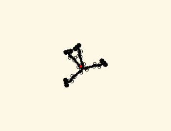 O=C(CCC(=O)OCc1c2ccccc2cc2ccccc12)OCCCCCC(=O)OCC(COC(=O)CCCCCOC(=O)CCC(=O)OCc1c2ccccc2cc2ccccc12)(COC(=O)CCCCCOC(=O)CCC(=O)OCc1c2ccccc2cc2ccccc12)COC(=O)CCCCCOC(=O)CCC(=O)OCc1c2ccccc2cc2ccccc12